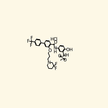 CS(=O)(=O)Nc1cc(NC(=O)c2ccc(-c3ccc(C(F)(F)F)cc3)cc2OCCCN2CCCC(F)(F)C2)ccc1O.Cl